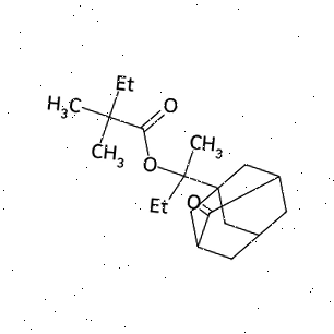 CCC(C)(C)C(=O)OC(C)(CC)C12CC3CC(C1)C(=O)C(C3)C2